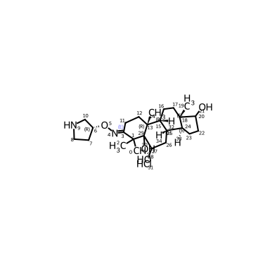 CC1(C)/C(=N/O[C@@H]2CCNC2)CC[C@]2(C)[C@@H]3CC[C@]4(C)C(O)CC[C@H]4[C@@H]3CC(O)C12O.Cl